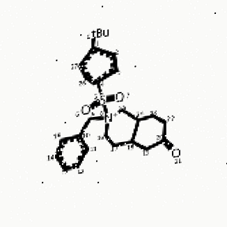 CC(C)(C)c1ccc(S(=O)(=O)[N+]2(Cc3ccccc3)CCC3CC(=O)CCC3C2)cc1